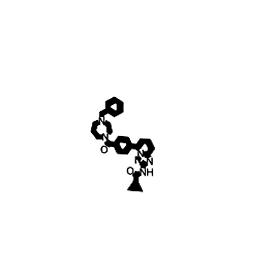 O=C(Nc1nc2cccc(-c3ccc(C(=O)N4CCCN(Cc5ccccc5)CC4)cc3)n2n1)C1CC1